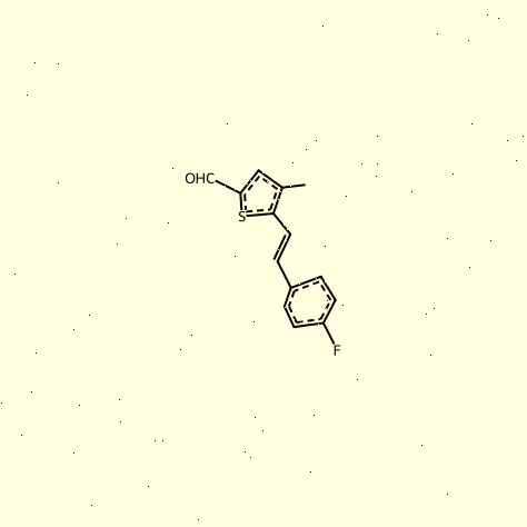 Cc1cc(C=O)sc1/C=C/c1ccc(F)cc1